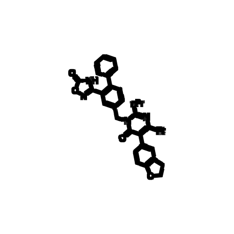 CCCc1nc(CC)c(-c2ccc3c(c2)CCO3)c(=O)n1Cc1ccc(-c2ccccc2)c(-c2noc(=O)[nH]2)c1